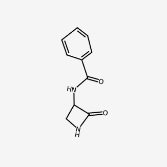 O=C(NC1CNC1=O)c1ccccc1